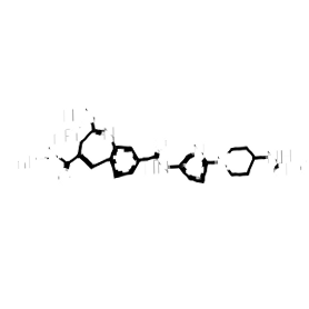 CCCN(CCC)C(=O)C1=Cc2ccc(C(=O)Nc3ccc(N4CCC(NC=O)CC4)nc3)cc2N=C(N)C1